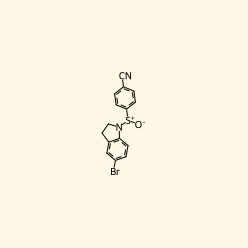 N#Cc1ccc([S+]([O-])N2CCc3cc(Br)ccc32)cc1